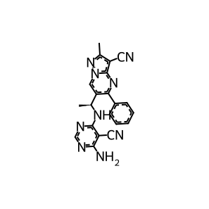 Cc1nn2cc([C@H](C)Nc3ncnc(N)c3C#N)c(-c3ccccc3)nc2c1C#N